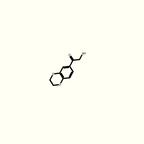 O=C(CS)c1ccc2c(c1)OCCO2